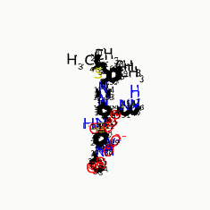 CC(C)c1csc(C2=C(CN3CCN(c4ccc(C(=O)NS(=O)(=O)c5ccc(NCC6COCCO6)c([N+](=O)[O-])c5)c(Oc5cnc6[nH]ccc6c5)c4)CC3)CCC(C)(C)C2)c1